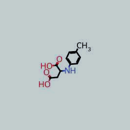 Cc1ccc(NC(CC(=O)O)C(=O)O)cc1